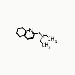 CCN(CC)Cc1ccc2c(n1)CCC[C]2